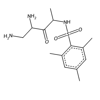 Cc1cc(C)c(S(=O)(=O)NC(C)C(=O)C(N)CN)c(C)c1